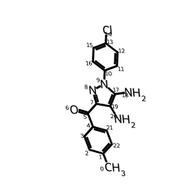 Cc1ccc(C(=O)c2nn(-c3ccc(Cl)cc3)c(N)c2N)cc1